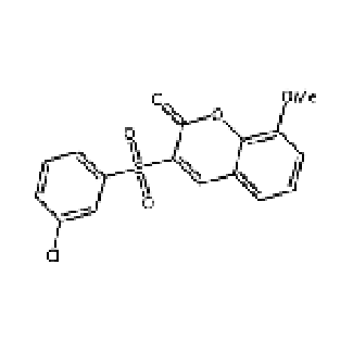 COc1cccc2cc(S(=O)(=O)c3cccc(Cl)c3)c(=O)oc12